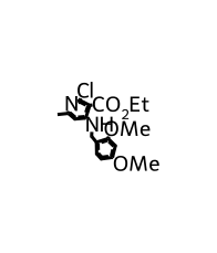 CCOC(=O)c1c(NCc2ccc(OC)cc2OC)cc(C)nc1Cl